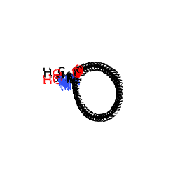 CCC(C(=O)O)n1nnnc1-c1cccc(N2CCCCCCCCCCCCCCCCCCCCCCCCCCCCCCCCCCCCCCCCCCCCCCCCC3(CC2)OCCO3)c1